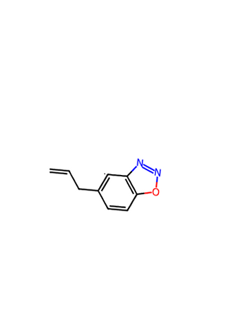 C=CCc1[c]c2nnoc2cc1